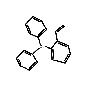 C=Cc1cccc[c]1[GeH]([c]1ccccc1)[c]1ccccc1